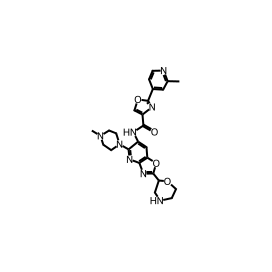 Cc1cc(-c2nc(C(=O)Nc3cc4oc(C5CNCCO5)nc4nc3N3CCN(C)CC3)co2)ccn1